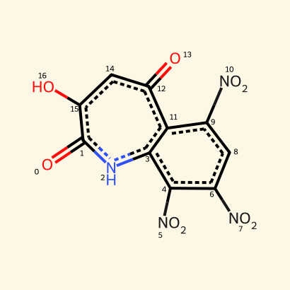 O=c1[nH]c2c([N+](=O)[O-])c([N+](=O)[O-])cc([N+](=O)[O-])c2c(=O)cc1O